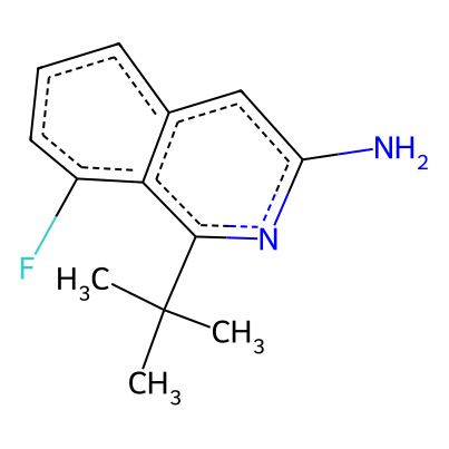 CC(C)(C)c1nc(N)cc2cccc(F)c12